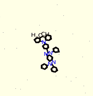 CC1(C)c2ccccc2N(c2ccc(-c3nc4cc5c(cc4n3-c3ccccc3)nc(-c3ccccc3)n5-c3ccccc3)cc2)c2ccccc21